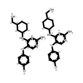 Nc1ncc(Sc2ccc(Cl)cc2)c(NC2CCC(CO)CC2)n1.Nc1ncc(Sc2ccc(Cl)cc2)c(NC2CCCC(CO)C2)n1